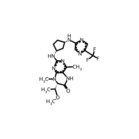 COC(C)[C@H]1C(=O)Nc2c(C)nc(N[C@@H]3CC[C@H](Nc4cnc(C(F)(F)F)cn4)C3)nc2N1C